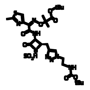 Cc1nc(/C(=N/OC(C)(C)C(=O)OC(C)(C)C)C(=O)N[C@@H]2C(=O)N(S(=O)(=O)O)[C@@H]2Cc2cn(CCNC(=O)OC(C)(C)C)nn2)cs1